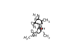 CC[C@@]12CN(C(=O)NC)[C@@H](C(n3cc(C)c(N)nc3=O)O1)[C@@H]2O